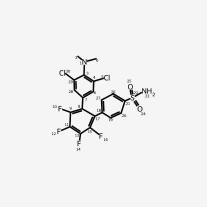 CN(C)c1c(Cl)cc(-c2c(F)c(F)c(F)c(F)c2-c2ccc(S(N)(=O)=O)cc2)cc1Cl